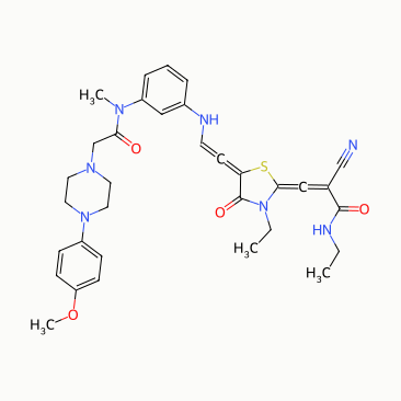 CCNC(=O)C(=C=c1sc(=C=CNc2cccc(N(C)C(=O)CN3CCN(c4ccc(OC)cc4)CC3)c2)c(=O)n1CC)C#N